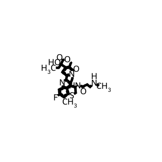 CC[C@@]1(O)C(=O)OCc2c1cc1n(c2=O)Cc2c-1nc1cc(F)c(C)c3c1c2[C@@H](NC(=O)CCNC)CS3